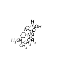 CC(=O)N[C@@H]1C[C@H](N(C)C(C)C)CC[C@@H]1N1CC[C@H](NC(=O)O)C1=O